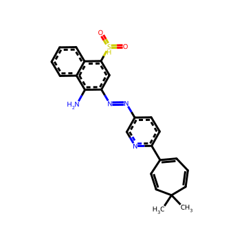 CC1(C)C=CC=C(c2ccc(/N=N/c3cc([SH](=O)=O)c4ccccc4c3N)cn2)C=C1